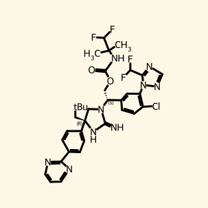 CC(C)(C)C[C@@]1(c2ccc(-c3ncccn3)cc2)CN([C@H](COC(=O)NC(C)(C)C(F)F)c2ccc(Cl)c(-n3ncnc3C(F)F)c2)C(=N)N1